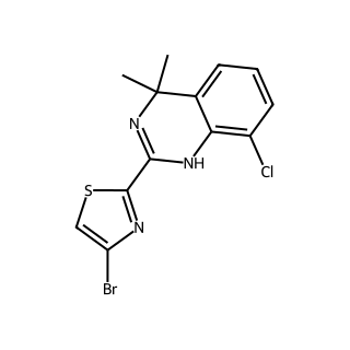 CC1(C)N=C(c2nc(Br)cs2)Nc2c(Cl)cccc21